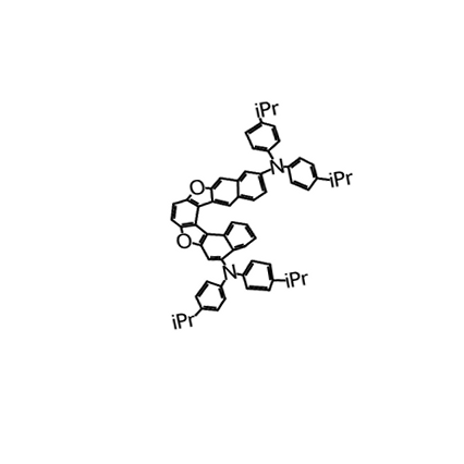 CC(C)c1ccc(N(c2ccc(C(C)C)cc2)c2ccc3cc4c(cc3c2)oc2ccc3oc5cc(N(c6ccc(C(C)C)cc6)c6ccc(C(C)C)cc6)c6ccccc6c5c3c24)cc1